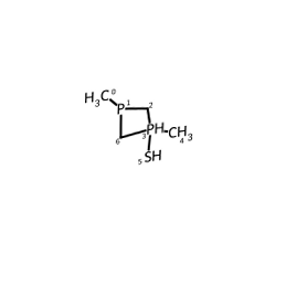 CP1C[PH](C)(S)C1